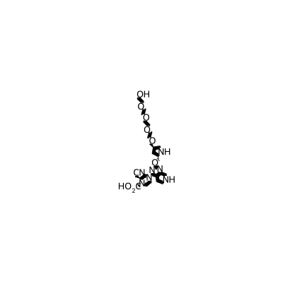 N#CC[C@H]1CN(c2nc(OC[C@@H]3C[C@@H](COCCOCCOCCOCCO)CN3)nc3c2CCNC3)CCN1C(=O)O